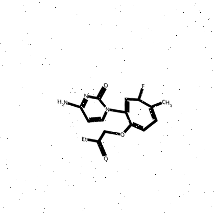 CCC(=O)COC1=CC=C(C)C(F)C=C1n1ccc(N)nc1=O